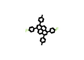 Cc1ccc(-c2cc(-c3ccc(F)cc3)c3ccc4c(-c5ccc(C)cc5)cc(-c5ccc(F)cc5)c5ccc2c3c45)cc1